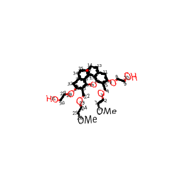 COCCOCc1c(OCCO)cc2ccccc2c1Oc1c(COCCOC)c(OCCO)cc2ccccc12